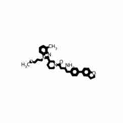 COCCCn1c(C2CCCN(C(=O)C[C@H](N)Cc3ccc(-c4ccc5c(c4)CCO5)cc3)C2)nc2c(C)cccc21